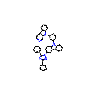 c1ccc(-c2nc(-c3ccccc3)n(-c3ccc4c(c3)c3ccccc3n4-c3cccc(-n4c5ccccc5c5ccncc54)c3)n2)cc1